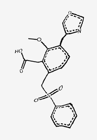 COc1c(-c2cocn2)ccc(CS(=O)(=O)c2ccccc2)c1C(=O)O